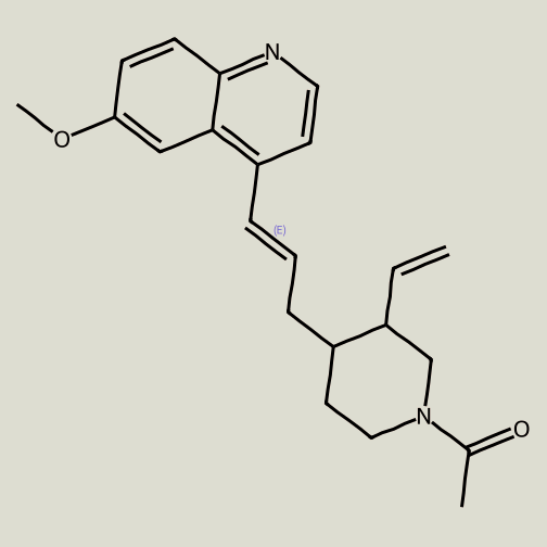 C=CC1CN(C(C)=O)CCC1C/C=C/c1ccnc2ccc(OC)cc12